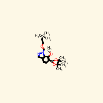 COc1c(B2OC(C)(C)C(C)(C)O2)ccc2cnn(COCC[Si](C)(C)C)c12